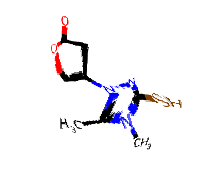 Cc1n(C)c(S)n[n+]1C1=COC(=O)C1